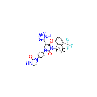 Cc1c(Cn2c(=O)c(-c3nnn[nH]3)cn(-c3ccc(N4CCNC4=O)cc3)c2=O)cccc1C(F)(F)F